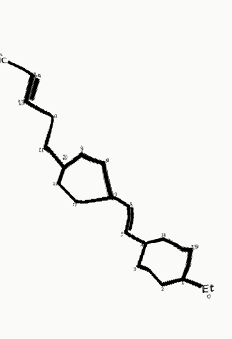 CCC1CCC(C=CC2CCC(CCC=CC#N)CC2)CC1